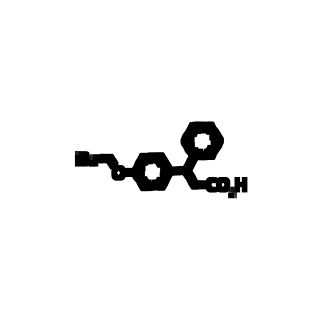 CCC(C)COc1ccc(C(CC(=O)O)c2ccccc2)cc1